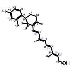 CC1=C(/C=C/C(C)=C/C=C/C(C)=C/CO)C(C)(C)C(c2ccc(I)cc2C)CC1